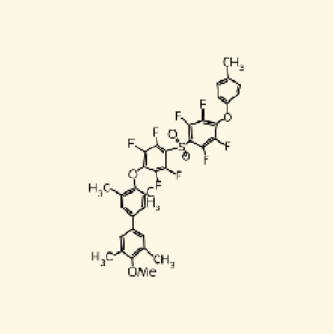 COc1c(C)cc(-c2cc(C)c(Oc3c(F)c(F)c(S(=O)(=O)c4c(F)c(F)c(Oc5ccc(C)cc5)c(F)c4F)c(F)c3F)c(C)c2)cc1C